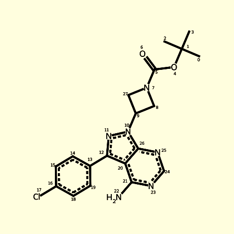 CC(C)(C)OC(=O)N1CC(n2nc(-c3ccc(Cl)cc3)c3c(N)ncnc32)C1